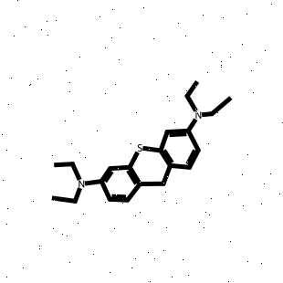 CCN(CC)c1ccc2c(c1)Sc1cc(N(CC)CC)ccc1C2